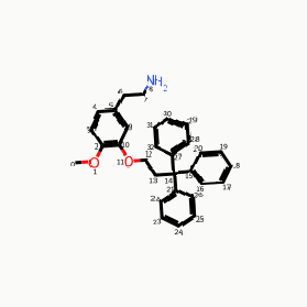 COc1ccc(CCN)cc1OCCC(c1ccccc1)(c1ccccc1)c1ccccc1